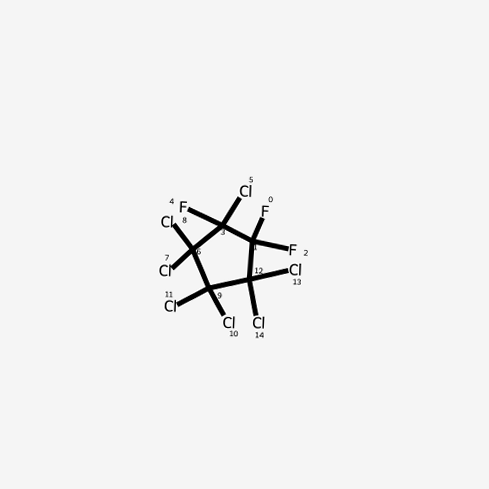 FC1(F)C(F)(Cl)C(Cl)(Cl)C(Cl)(Cl)C1(Cl)Cl